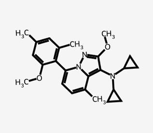 COc1cc(C)cc(C)c1-c1ccc(C)c2c(N(C3CC3)C3CC3)c(OC)nn12